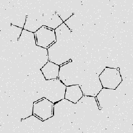 O=C(C1CCOCC1)N1C[C@@H](c2ccc(F)cc2)[C@@H](N2CCN(c3cc(C(F)(F)F)cc(C(F)(F)F)c3)C2=O)C1